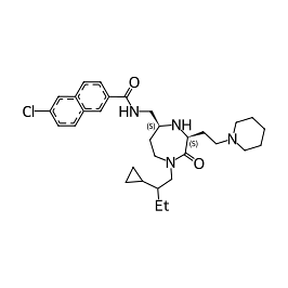 CCC(CN1CC[C@@H](CNC(=O)c2ccc3cc(Cl)ccc3c2)N[C@@H](CCN2CCCCC2)C1=O)C1CC1